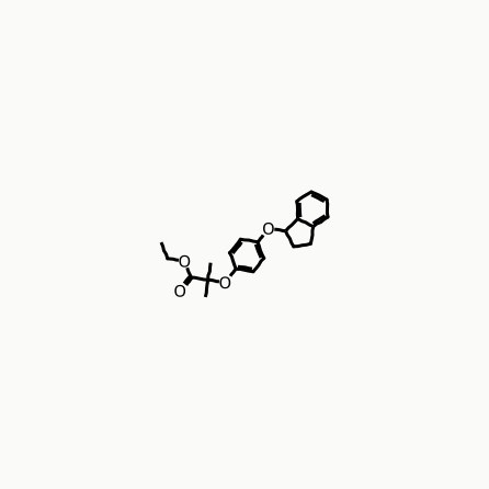 CCOC(=O)C(C)(C)Oc1ccc(OC2CCc3ccccc32)cc1